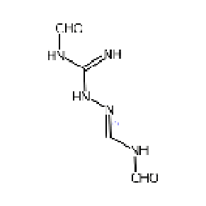 N=C(NC=O)N/N=C/NC=O